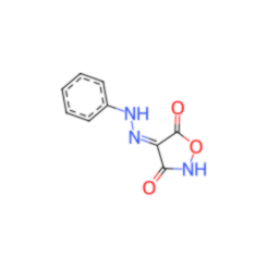 O=C1NOC(=O)/C1=N\Nc1ccccc1